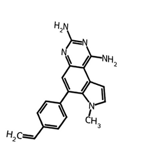 C=Cc1ccc(-c2cc3nc(N)nc(N)c3c3ccn(C)c23)cc1